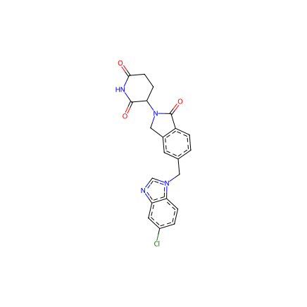 O=C1CCC(N2Cc3cc(Cn4cnc5cc(Cl)ccc54)ccc3C2=O)C(=O)N1